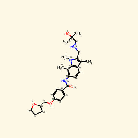 Cc1c(CNCC(C)(C)O)n(C)c2c(C)c(NC(=O)c3ccc(OC[C@@H]4CCCO4)cc3)ccc12